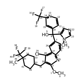 COc1nc2ccc(C(O)(c3ccnc(C(F)(F)F)c3)c3cncn3C)cc2c(Cl)c1CC1CCC(C)(C(F)(F)F)CC1